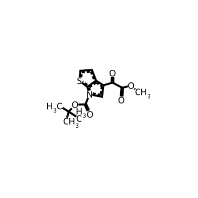 COC(=O)C(=O)c1cn(C(=O)OC(C)(C)C)c2sccc12